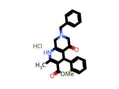 COC(=O)C1=C(C)NC2=C(C(=O)CN(Cc3ccccc3)C2)C1c1ccccc1F.Cl